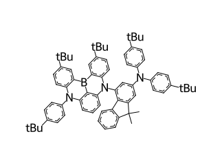 CC(C)(C)c1ccc(N(c2ccc(C(C)(C)C)cc2)c2cc(N3c4ccc(C(C)(C)C)cc4B4c5cc(C(C)(C)C)ccc5N(c5ccc(C(C)(C)C)cc5)c5cccc3c54)c3c(c2)C(C)(C)c2ccccc2-3)cc1